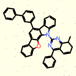 CC1CC=Cc2c(-c3ccccc3)nc(-n3c4ccccc4c4c(-c5cccc(-c6ccccc6)c5)cc5c6ccccc6oc5c43)nc21